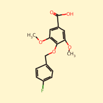 COc1cc(C(=O)O)cc(OC)c1OCc1ccc(F)cc1